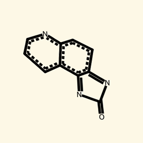 O=C1N=c2ccc3ncccc3c2=N1